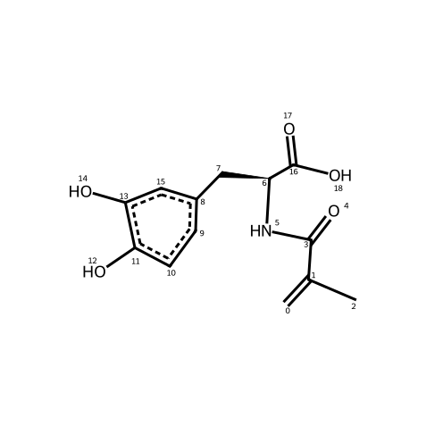 C=C(C)C(=O)N[C@@H](Cc1ccc(O)c(O)c1)C(=O)O